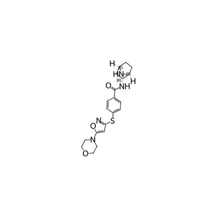 O=C(N[C@@H]1C[C@H]2CC[C@@H]1N2)c1ccc(Sc2cc(N3CCOCC3)on2)cc1